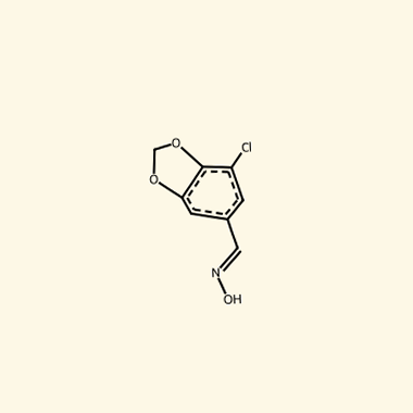 ON=Cc1cc(Cl)c2c(c1)OCO2